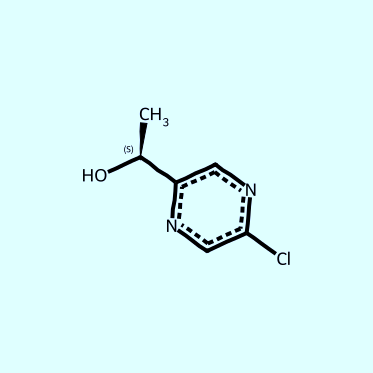 C[C@H](O)c1cnc(Cl)cn1